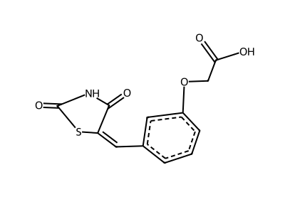 O=C(O)COc1cccc(/C=C2/SC(=O)NC2=O)c1